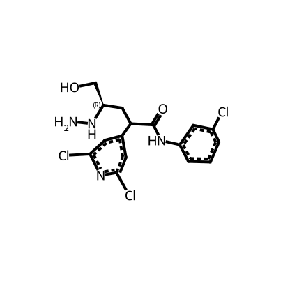 NN[C@@H](CO)CC(C(=O)Nc1cccc(Cl)c1)c1cc(Cl)nc(Cl)c1